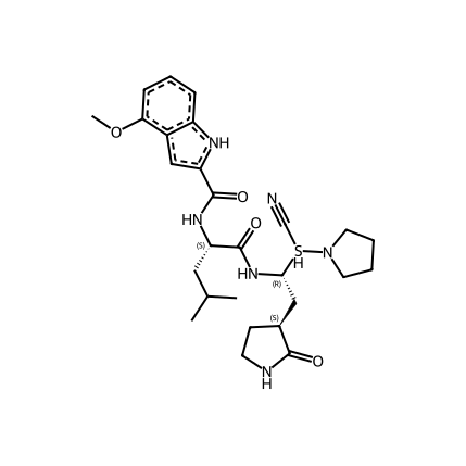 COc1cccc2[nH]c(C(=O)N[C@@H](CC(C)C)C(=O)N[C@@H](C[C@@H]3CCNC3=O)[SH](C#N)N3CCCC3)cc12